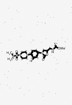 COC(=S)NCC1CN(c2ccc(N3CCN(S(=O)(=O)N(C)C)CC3)c(F)c2)C(=O)O1